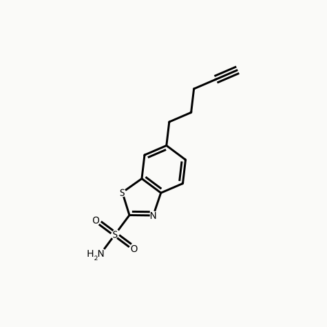 C#CCCCc1ccc2nc(S(N)(=O)=O)sc2c1